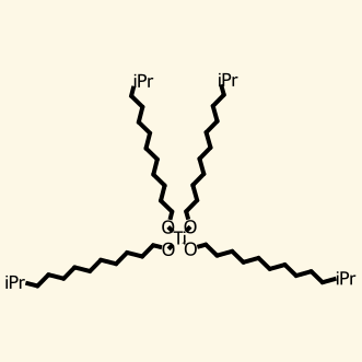 CC(C)CCCCCCCCCC[O][Ti]([O]CCCCCCCCCCC(C)C)([O]CCCCCCCCCCC(C)C)[O]CCCCCCCCCCC(C)C